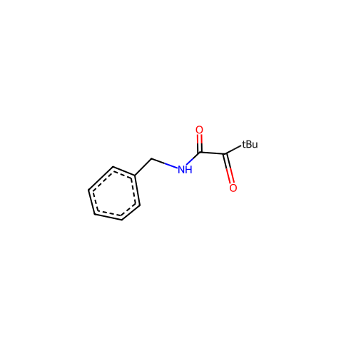 CC(C)(C)C(=O)C(=O)NCc1ccccc1